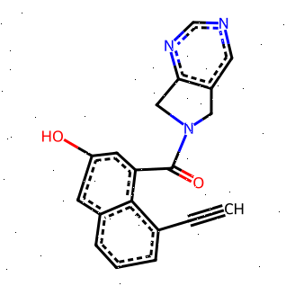 C#Cc1cccc2cc(O)cc(C(=O)N3Cc4cncnc4C3)c12